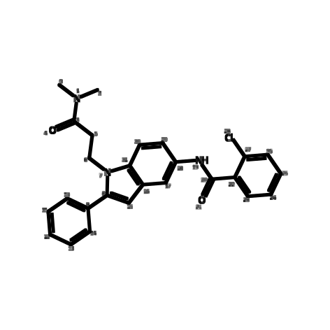 CN(C)C(=O)CCn1c(-c2ccccc2)cc2cc(NC(=O)c3ccccc3Cl)ccc21